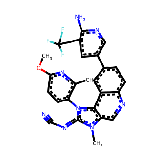 COc1ccc(-n2/c(=N\C#N)n(C)c3cnc4ccc(-c5cnc(N)c(C(F)(F)F)c5)cc4c32)c(C)n1